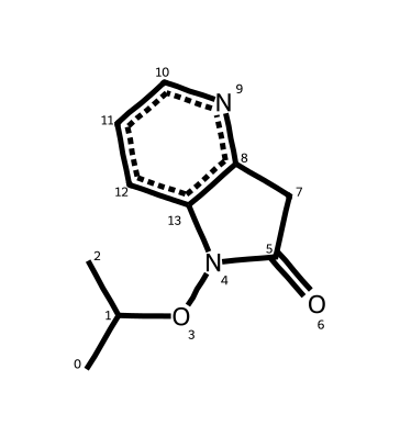 CC(C)ON1C(=O)Cc2ncccc21